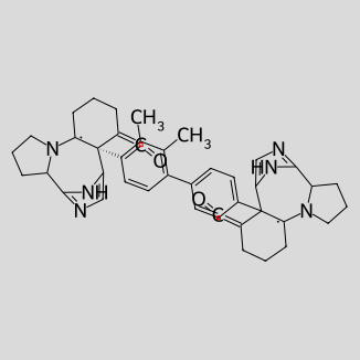 Cc1c(-c2ccc(C34[C](CCCC3=C=O)N3CCCC3c3ncc4[nH]3)cc2)ccc([C@]23[C](CCCC2=C=O)N2CCCC2c2ncc3[nH]2)c1C